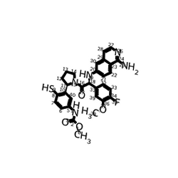 COC(=O)Nc1ccc(S)c([C@H]2CCCN2C(=O)[C@@H](Nc2ccc3c(N)nccc3c2)c2ccc(F)c(OC)c2)c1